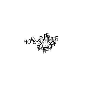 OOOSC1(F)C(F)(F)C(F)(F)C(F)(C(F)(F)F)C(F)(F)C1(F)F